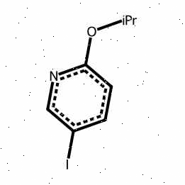 CC(C)Oc1ccc(I)cn1